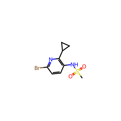 CS(=O)(=O)Nc1ccc(Br)nc1C1CC1